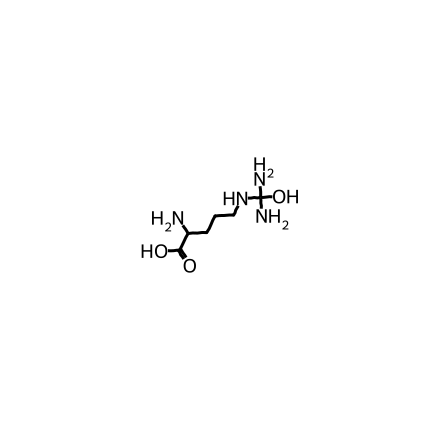 NC(CCCNC(N)(N)O)C(=O)O